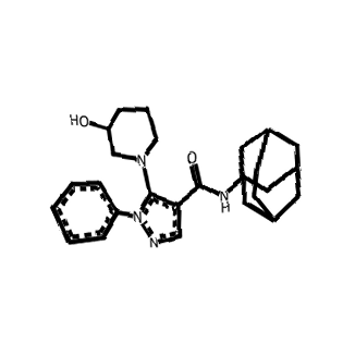 O=C(NC12CC3CC(CC(C3)C1)C2)c1cnn(-c2ccccc2)c1N1CCCC(O)C1